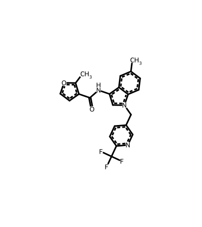 Cc1ccc2c(c1)c(NC(=O)c1ccoc1C)cn2Cc1ccc(C(F)(F)F)nc1